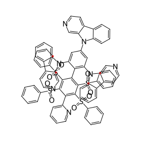 O=S(=O)(c1ccccc1)c1c(-c2ccccn2)c(S(=O)(=O)c2ccccc2)c(S(=O)(=O)c2ccccc2)c(-c2c(-n3c4ccccc4c4ccncc43)cc(-n3c4ccccc4c4ccncc43)cc2-n2c3ccccc3c3ccncc32)c1S(=O)(=O)c1ccccc1